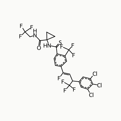 O=C(NCC(F)(F)F)C1(NC(=S)c2ccc(/C(F)=C/C(c3cc(Cl)c(Cl)c(Cl)c3)C(F)(F)F)cc2C(F)(F)F)CC1